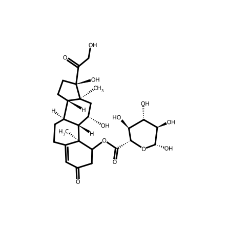 C[C@]12C[C@H](O)[C@H]3[C@@H](CCC4=CC(=O)CC(OC(=O)[C@H]5O[C@@H](O)[C@H](O)[C@@H](O)[C@@H]5O)[C@@]43C)[C@@H]1CC[C@]2(O)C(=O)CO